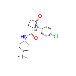 CC(C)(C)C1CCC(NC(=O)[C@@H]2CCC(=O)N2c2ccc(Cl)cc2)CC1